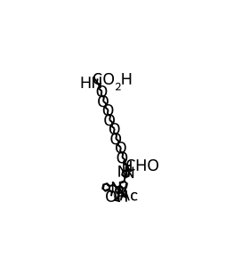 CC(=O)N1c2ccc(-c3cnc(N(C=O)CCOCCOCCOCCOCCOCCOCCOCCOCCNC(=O)O)nc3)cc2N(Cc2ccccc2CO)C[C@@H]1C1CC1